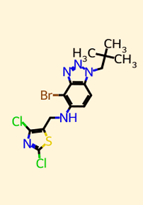 CC(C)(C)Cn1nnc2c(Br)c(NCc3sc(Cl)nc3Cl)ccc21